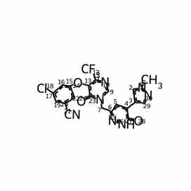 Cn1cc(-c2cc(Cn3cnc(C(F)(F)F)c(Oc4cc(Cl)cc(C#N)c4)c3=O)n[nH]c2=O)cn1